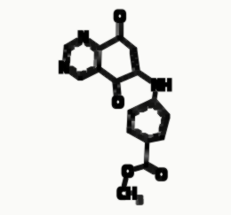 COC(=O)c1ccc(NC2=CC(=O)c3ncncc3C2=O)cc1